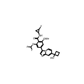 COc1cc(-c2cnc3cc(C4(O)CCC4)ccn23)cc(OC(F)F)c1C(=O)NC1CC1F